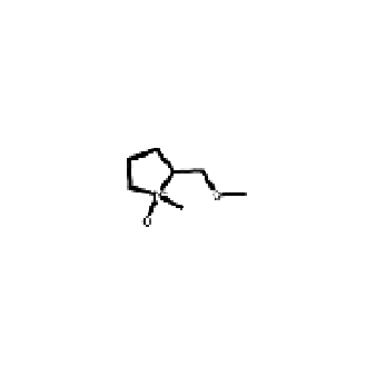 COCC1CCC[N+]1(C)[O-]